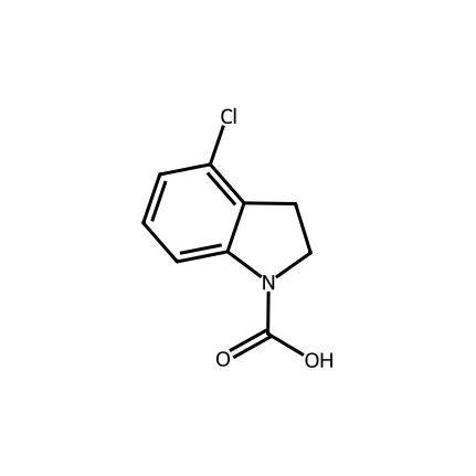 O=C(O)N1CCc2c(Cl)cccc21